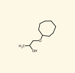 CC(O)COC1CCCCCCC1